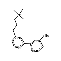 CCCCc1ccnc(-c2cc(CCC[N+](C)(C)C)ccn2)c1